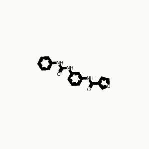 O=C(Nc1ccccc1)Nc1cccc(NC(=O)c2ccoc2)c1